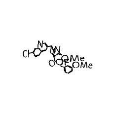 COCc1nn(Cc2cnc3cc(Cl)ccc3c2)cc1C(=O)OCc1cccc(OC)c1F